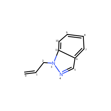 C=CCn1ncc2ccccc21